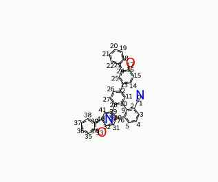 N#Cc1cccc(C#N)c1-c1cc(-c2ccc3oc4ccccc4c3c2)ccc1-c1ccc2oc3ccccc3c2c1